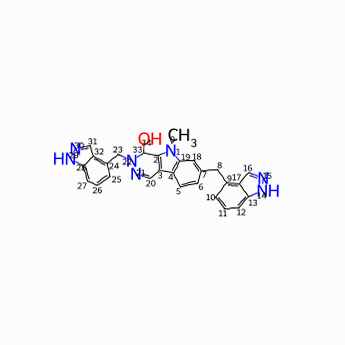 Cn1c2c(c3ccc(Cc4cccc5[nH]ncc45)cc31)C=NN(Cc1cccc3[nH]ncc13)C2O